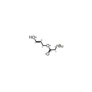 CCCCCC(=O)OCC=CO